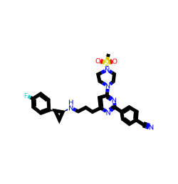 CS(=O)(=O)N1CCN(c2cc(CCCN[C@@H]3C[C@H]3c3ccc(F)cc3)nc(-c3ccc(C#N)cc3)n2)CC1